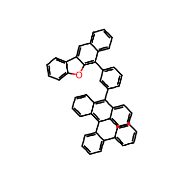 c1ccc(-c2ccccc2-c2c3ccccc3c(-c3cccc(-c4c5ccccc5cc5c4oc4ccccc45)c3)c3ccccc23)cc1